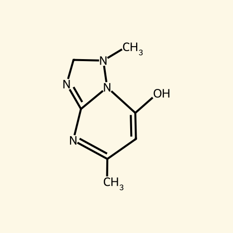 CC1=NC2=NCN(C)N2C(O)=C1